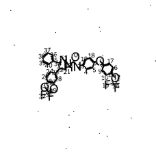 O=C(Nc1ccc(Oc2ccc(OC(F)F)cc2)cc1)N1CC(c2ccc3c(c2)OC(F)(F)O3)C(c2ccccc2)=N1